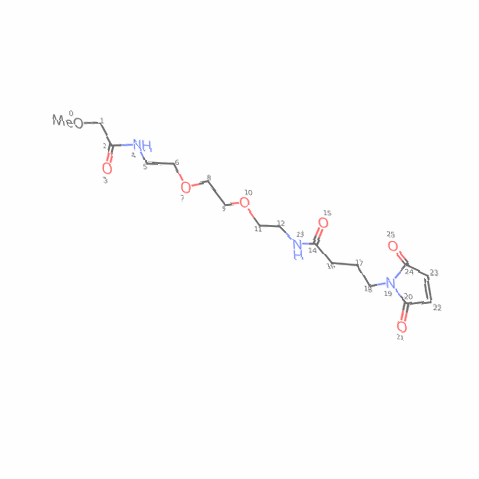 COCC(=O)NCCOCCOCCNC(=O)CCCN1C(=O)C=CC1=O